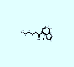 [O]CCCCC(=O)c1cncc2nc[nH]c12